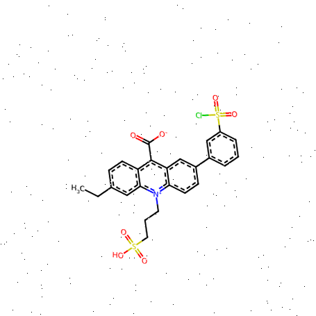 CCc1ccc2c(C(=O)[O-])c3cc(-c4cccc(S(=O)(=O)Cl)c4)ccc3[n+](CCCS(=O)(=O)O)c2c1